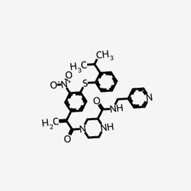 C=C(C(=O)N1CCNC(C(=O)NCc2ccncc2)C1)c1ccc(Sc2ccccc2C(C)C)c([N+](=O)[O-])c1